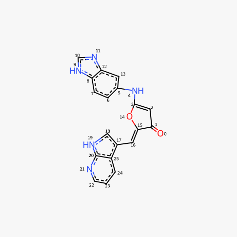 O=C1C=C(Nc2ccc3[nH]cnc3c2)OC1=Cc1c[nH]c2ncccc12